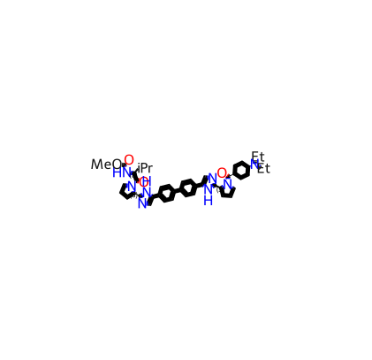 CCN(CC)[C@H]1CC[C@@H](C(=O)N2CCC[C@H]2c2ncc(-c3ccc(-c4ccc(-c5cnc([C@@H]6CCCN6C(=O)[C@@H](NC(=O)OC)C(C)C)[nH]5)cc4)cc3)[nH]2)CC1